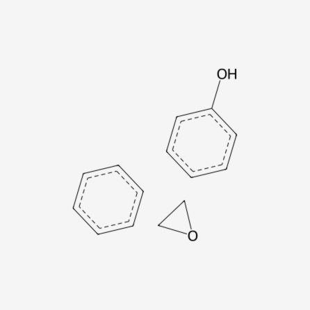 C1CO1.Oc1ccccc1.c1ccccc1